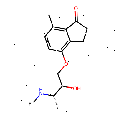 Cc1ccc(OC[C@@H](O)[C@H](C)NC(C)C)c2c1C(=O)CC2